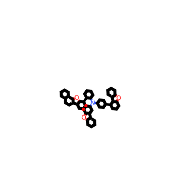 c1ccc(N(c2ccc(-c3cccc4oc5ccccc5c34)cc2)c2ccc3oc4ccccc4c3c2)c(-c2cccc3c2oc2c4ccccc4ccc32)c1